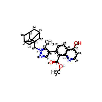 COC(=O)c1c(-c2cnn(CC34CC5CC(CC(C5)C3)C4)c2C)ccc2c(O)ccnc12